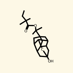 CCC(C)(C)C(=O)OC(C)(C)C12CC3C4CC5(O)CC3C(C1)C(C5)C4C2